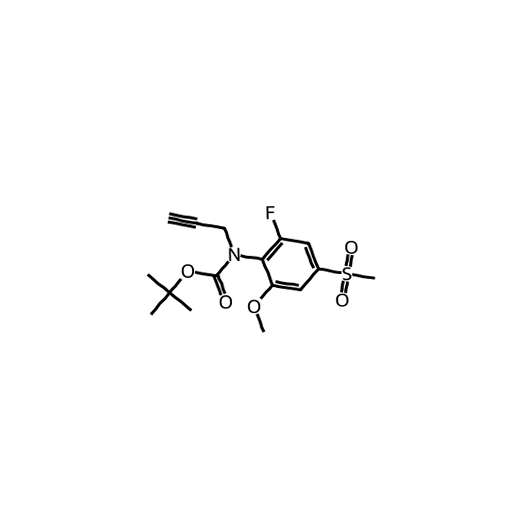 C#CCN(C(=O)OC(C)(C)C)c1c(F)cc(S(C)(=O)=O)cc1OC